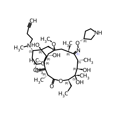 C#CCCN(C)[C@H]1C[C@@H](C)O[C@@H](O)[C@@]1(O)C[C@]1(OC)C[C@@H](C)C(=O)[C@@H](C)C(=O)O[C@H](CC)[C@@](C)(O)[C@H](O)[C@@H](C)/C(=N/O[C@@H]2CCNC2)[C@H](C)C1